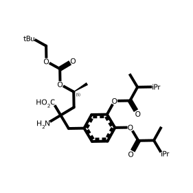 CC(C)C(C)C(=O)Oc1ccc(CC(N)(C[C@H](C)OC(=O)OCC(C)(C)C)C(=O)O)cc1OC(=O)C(C)C(C)C